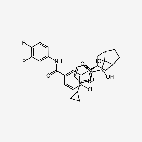 O=C(Nc1ccc(F)c(F)c1)c1ccc(Cl)c(S(=O)(=O)[C@H]2CC3CCC(C2)[C@]3(O)C(O)c2cccc(C3CC3)n2)c1